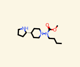 CCCCN(C(=O)OC)N1CCC([C@@H]2CCCN2)CC1